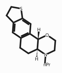 CCCN1CCO[C@H]2c3cc4c(cc3CC[C@@H]21)CCS4